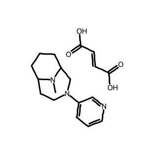 CN1C2CCCC1CN(c1cccnc1)CC2.O=C(O)/C=C/C(=O)O